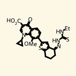 CCNC(=S)N/N=C1/CCCc2sc(-c3ccc4c(=O)c(C(=O)O)cn(C5CC5)c4c3OC)cc21